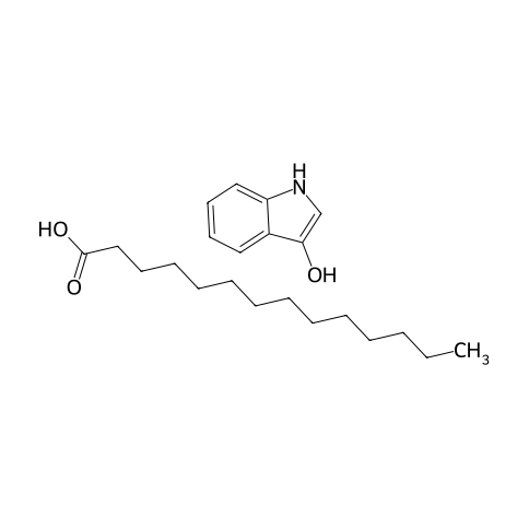 CCCCCCCCCCCCCC(=O)O.Oc1c[nH]c2ccccc12